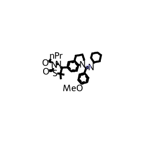 CCCC(=O)N1N=C(c2ccc3c(c2)CCCN3/C(=N\C2CCCCC2)c2ccc(OC)cc2)C(C)(C)SC1=O